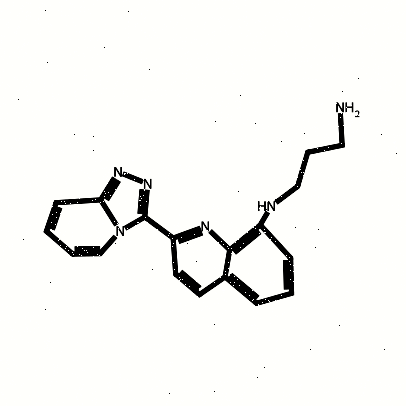 NCCCNc1cccc2ccc(-c3nnc4ccccn34)nc12